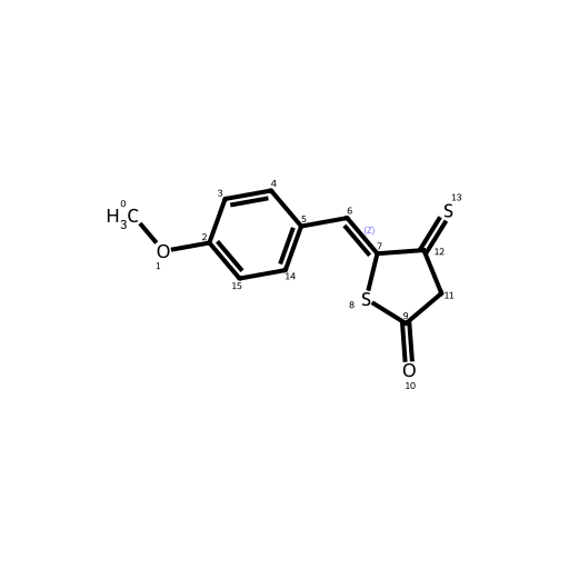 COc1ccc(/C=C2\SC(=O)CC2=S)cc1